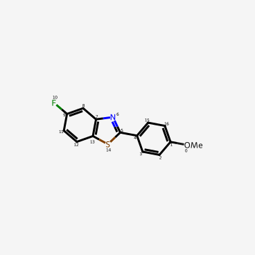 COc1ccc(-c2nc3cc(F)ccc3s2)cc1